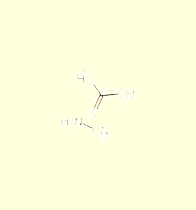 N#CN.OC(O)=S